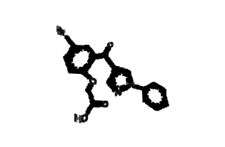 O=C(O)COc1ccc(Br)cc1C(=O)c1cnn(-c2ccccc2)c1